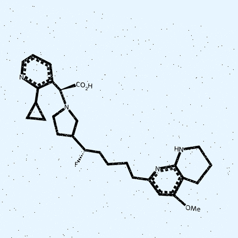 COc1cc(CCCC[C@H](F)C2CCN([C@H](C(=O)O)c3cccnc3C3CC3)C2)nc2c1CCCN2